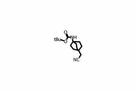 CC(C)(C)OC(=O)NC12CCC(CC#N)(CC1)CC2